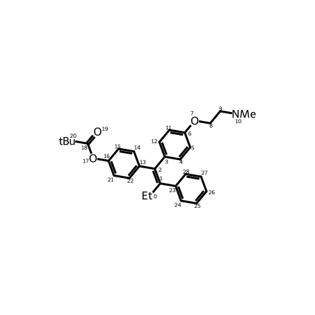 CC/C(=C(/c1ccc(OCCNC)cc1)c1ccc(OC(=O)C(C)(C)C)cc1)c1ccccc1